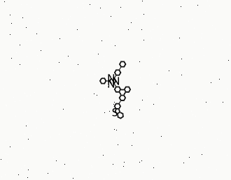 c1ccc(-c2ccc(-c3nc(-c4ccccc4)nc(-c4ccc5c6cc(-c7ccc8sc9ccccc9c8c7)ccc6c6ccccc6c5c4)n3)cc2)cc1